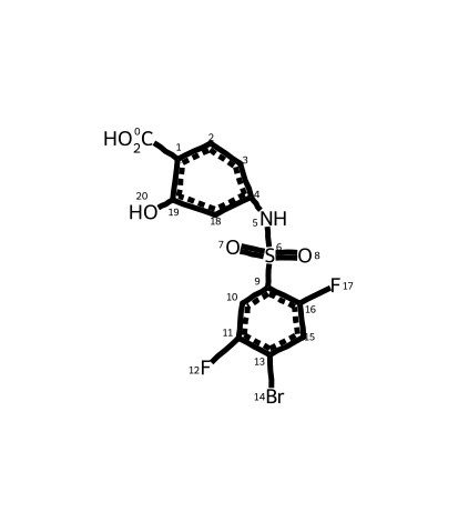 O=C(O)c1ccc(NS(=O)(=O)c2cc(F)c(Br)cc2F)cc1O